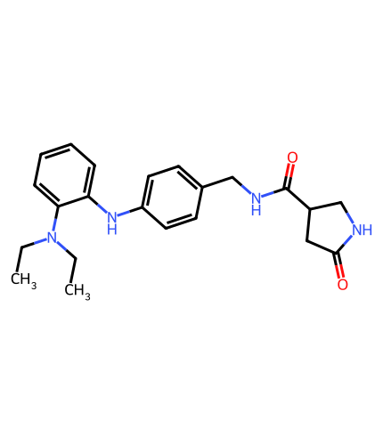 CCN(CC)c1ccccc1Nc1ccc(CNC(=O)C2CNC(=O)C2)cc1